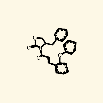 O=C(C=Cc1ccccc1Oc1ccccc1)N1C(=O)OCC1Cc1ccccc1